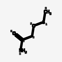 CSOCC(N)=O